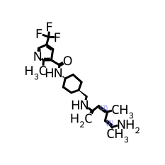 C=C(/C=C(C)\C=C(\C)N)NC[C@H]1CC[C@H](NC(=O)c2cc(C(F)(F)F)cnc2C)CC1